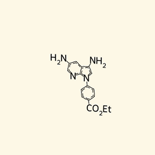 CCOC(=O)c1ccc(-n2cc(N)c3cc(N)cnc32)cc1